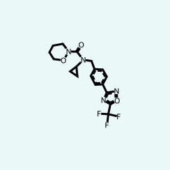 O=C(N1CCCCO1)N(Cc1ccc(-c2noc(C(F)(F)F)n2)cc1)C1CC1